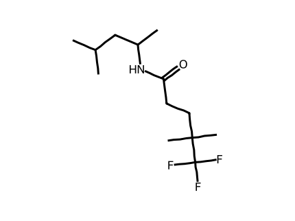 CC(C)CC(C)NC(=O)CCC(C)(C)C(F)(F)F